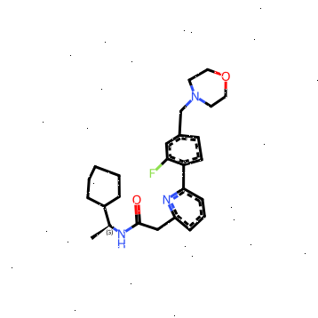 C[C@H](NC(=O)Cc1cccc(-c2ccc(CN3CCOCC3)cc2F)n1)C1CCCCC1